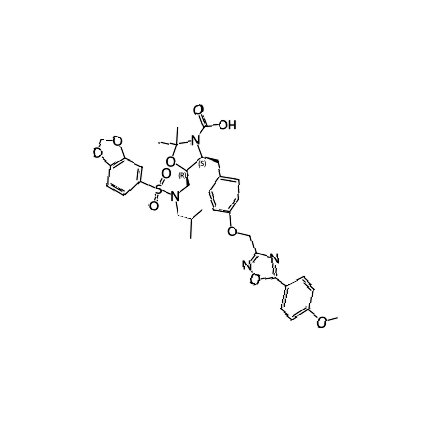 COc1ccc(-c2nc(COc3ccc(C[C@H]4[C@@H](CN(CC(C)C)S(=O)(=O)c5ccc6c(c5)OCO6)OC(C)(C)N4C(=O)O)cc3)no2)cc1